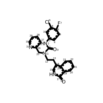 O=C(Nc1ccc(F)c(Cl)c1)N(CCc1c[nH]c(=O)c2ccccc12)Cc1ccccn1